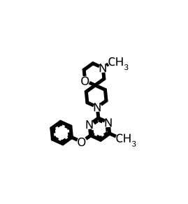 Cc1cc(Oc2ccccc2)nc(N2CCC3(CC2)CN(C)CCO3)n1